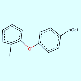 CCCCCCCCc1ccc(Oc2ccccc2C)cc1